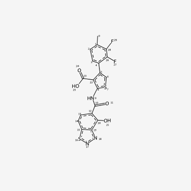 Cc1ccc(-c2csc(NC(=O)c3ccc4snnc4c3O)c2C(=O)O)c(F)c1F